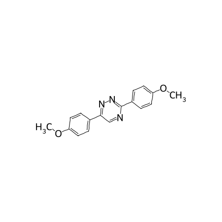 COc1ccc(-c2cnc(-c3ccc(OC)cc3)nn2)cc1